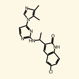 Cc1ncn(-c2ccnc(NC(C)c3cc4cc(Cl)ccc4[nH]c3=O)n2)c1C